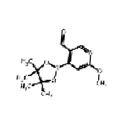 COc1cc(B2OC(C)(C)C(C)(C)O2)c(C=O)cn1